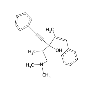 CC(=Cc1ccccc1)C(O)(C#Cc1ccccc1)C(C)CN(C)C